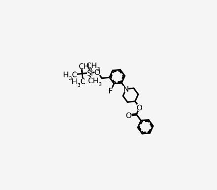 CC(C)(C)[Si](C)(C)OCc1cccc(N2CCC(OC(=O)c3ccccc3)CC2)c1F